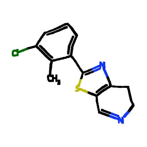 Cc1c(Cl)cccc1-c1nc2c(s1)C=NCC2